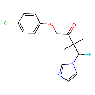 CC(C)(C(=O)COc1ccc(Cl)cc1)C(F)n1ccnc1